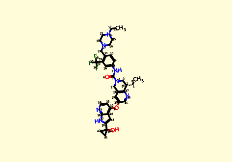 CC[C@H]1CN(C(=O)Nc2ccc(CN3CCN(CC)CC3)c(C(F)(F)F)c2)Cc2cc(Oc3ccnc4[nH]c(C5(O)CC5)cc34)cnc21